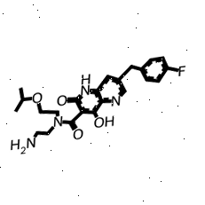 CC(C)OCCN(CCN)C(=O)c1c(O)c2ncc(Cc3ccc(F)cc3)cc2[nH]c1=O